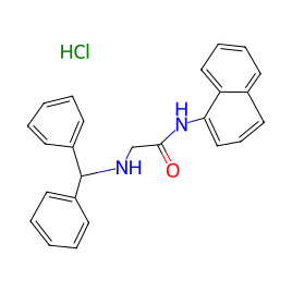 Cl.O=C(CNC(c1ccccc1)c1ccccc1)Nc1cccc2ccccc12